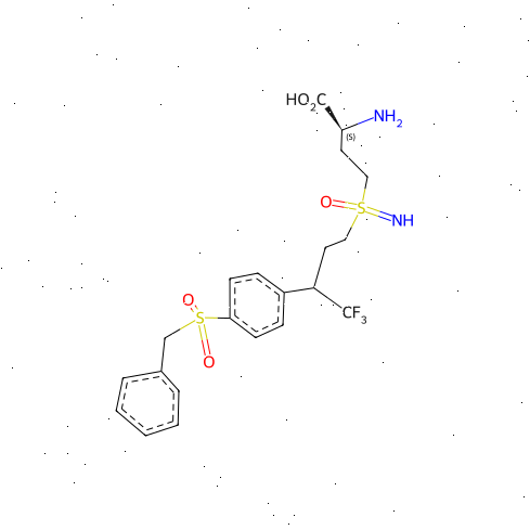 N=S(=O)(CCC(c1ccc(S(=O)(=O)Cc2ccccc2)cc1)C(F)(F)F)CC[C@H](N)C(=O)O